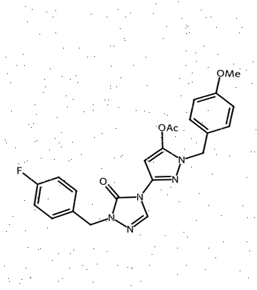 COc1ccc(Cn2nc(-n3cnn(Cc4ccc(F)cc4)c3=O)cc2OC(C)=O)cc1